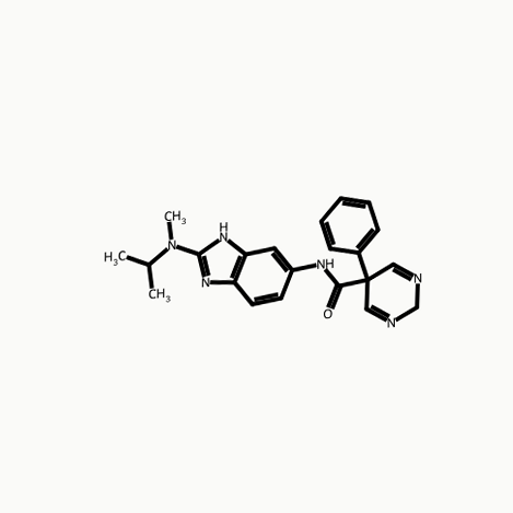 CC(C)N(C)c1nc2ccc(NC(=O)C3(c4ccccc4)C=NCN=C3)cc2[nH]1